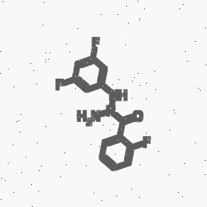 NN(Nc1cc(F)cc(F)c1)C(=O)c1ccccc1F